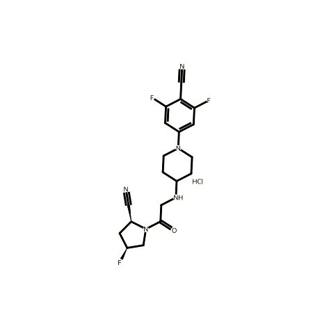 Cl.N#Cc1c(F)cc(N2CCC(NCC(=O)N3C[C@@H](F)C[C@H]3C#N)CC2)cc1F